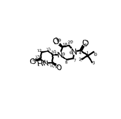 CC(C)(C)C(=O)N1CCN(C2CCC(=O)NC2=O)C(=O)C1